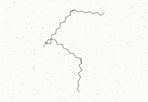 CCCCCCCC/C=C\CCCCCCCCC1(CCCCCCCC/C=C\CCCCCCCC)CN(C)C1